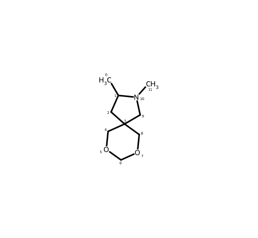 CC1CC2(COCOC2)CN1C